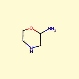 NC1CNCCO1